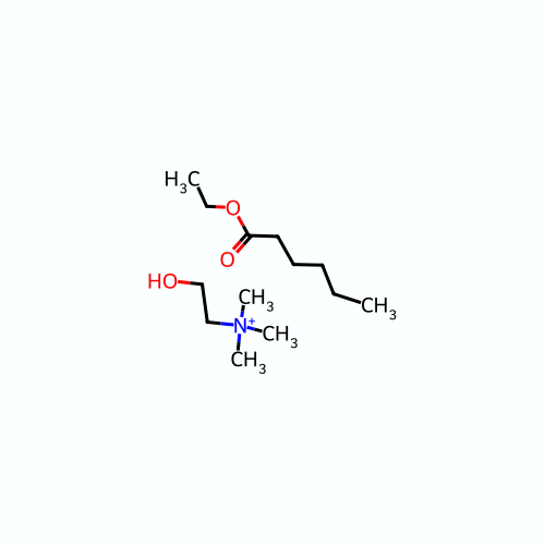 CCCCCC(=O)OCC.C[N+](C)(C)CCO